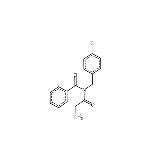 CCC(=O)N(Cc1ccc(Cl)cc1)C(=O)c1ccccc1